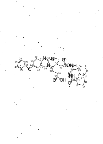 NC(=O)C1CCCCC1.NC(=O)C1CCCCC1.NC1=Nc2ccc(Oc3ccccc3)cc2CN1C(CCC(=O)O)CCC(=O)O